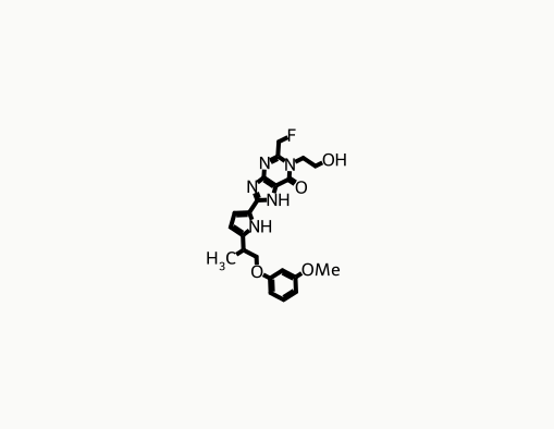 COc1cccc(OCC(C)c2ccc(-c3nc4nc(CF)n(CCO)c(=O)c4[nH]3)[nH]2)c1